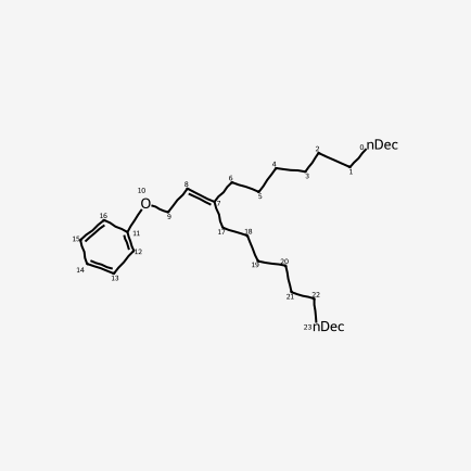 CCCCCCCCCCCCCCCCC(=CCOc1ccccc1)CCCCCCCCCCCCCCCC